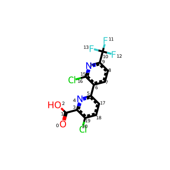 O=C(O)c1nc(-c2ccc(C(F)(F)F)nc2Cl)ccc1Cl